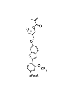 C=C(C)C(=O)OCC(COc1ccc2cc(-c3ccc(CCCCC)cc3OC(F)(F)F)sc2c1)CC(F)(F)F